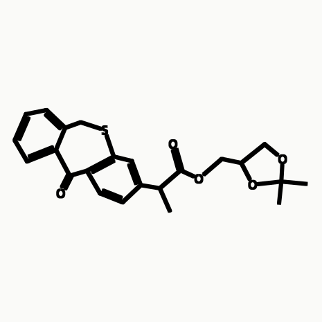 CC(C(=O)OCC1COC(C)(C)O1)c1ccc2c(c1)SCc1ccccc1C2=O